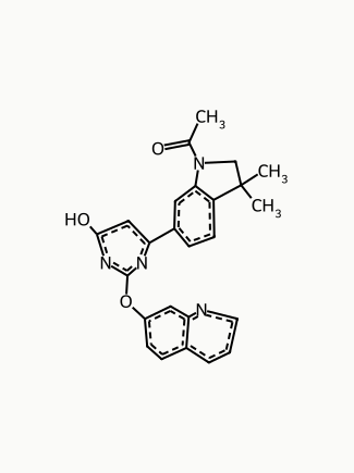 CC(=O)N1CC(C)(C)c2ccc(-c3cc(O)nc(Oc4ccc5cccnc5c4)n3)cc21